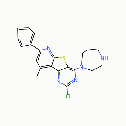 Cc1cc(-c2ccccc2)nc2sc3c(N4CCCNCC4)nc(Cl)nc3c12